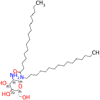 CCCCCCCCCCCCCCCCN(C(=O)CCCCCCCCCCCCCCC)[C@@H]1O[C@H](CO)[C@@H](O)[C@H](O)[C@H]1N